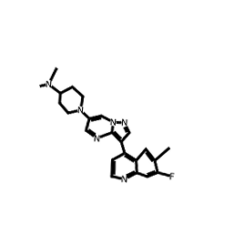 Cc1cc2c(-c3cnn4cc(N5CCC(N(C)C)CC5)cnc34)ccnc2cc1F